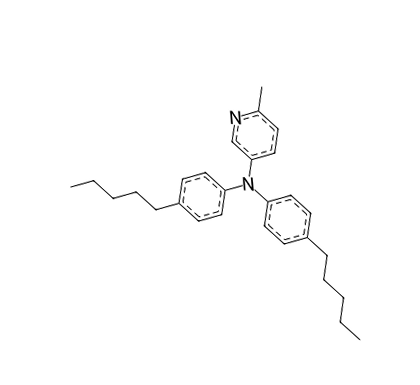 CCCCCc1ccc(N(c2ccc(CCCCC)cc2)c2ccc(C)nc2)cc1